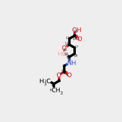 CC(C)COC(=O)CNC1BOC(CC(=O)O)CC1